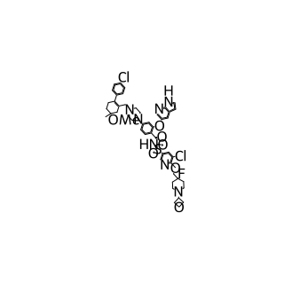 COC1(C)CCC(c2ccc(Cl)cc2)=C(CN2CCN(c3ccc(C(=O)NS(=O)(=O)c4cnc(OCC5(F)CCN(C6COC6)CC5)c(Cl)c4)c(Oc4cnc5[nH]ccc5c4)c3)CC2)C1